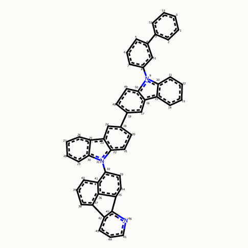 c1ccc(-c2cccc(-n3c4ccccc4c4cc(-c5ccc6c(c5)c5ccccc5n6-c5ccc6c7c(cccc57)-c5cccnc5-6)ccc43)c2)cc1